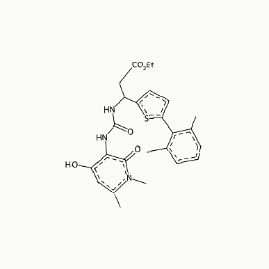 CCOC(=O)CC(NC(=O)Nc1c(O)cc(C)n(C)c1=O)c1ccc(-c2c(C)cccc2C)s1